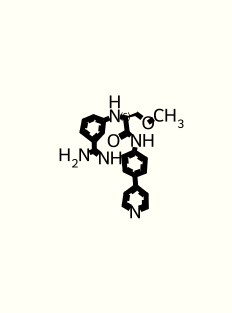 COC[C@H](Nc1cccc(C(=N)N)c1)C(=O)Nc1ccc(-c2ccncc2)cc1